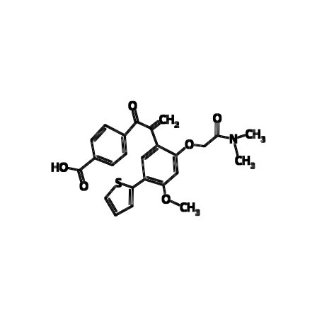 C=C(C(=O)c1ccc(C(=O)O)cc1)c1cc(-c2cccs2)c(OC)cc1OCC(=O)N(C)C